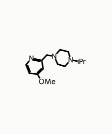 COc1ccnc(CN2CCN(C(C)C)CC2)c1